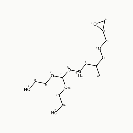 CC(COCC1CO1)C[SiH2]OC(OCCO)OCCO